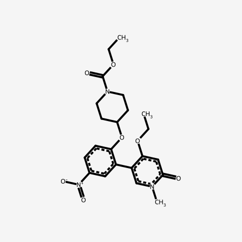 CCOC(=O)N1CCC(Oc2ccc([N+](=O)[O-])cc2-c2cn(C)c(=O)cc2OCC)CC1